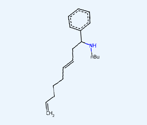 C=CCCCC=CCC(NCCCC)c1ccccc1